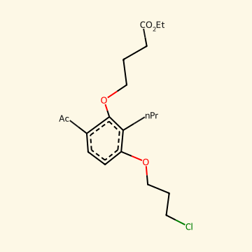 CCCc1c(OCCCCl)ccc(C(C)=O)c1OCCCC(=O)OCC